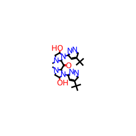 CN1CC(O)N(c2cc(C(C)(C)C)cnn2)C1C(=O)C1N(C)CC(O)N1c1cc(C(C)(C)C)cnn1